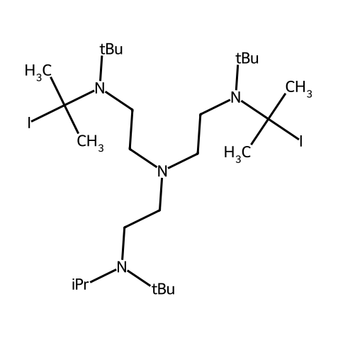 CC(C)N(CCN(CCN(C(C)(C)C)C(C)(C)I)CCN(C(C)(C)C)C(C)(C)I)C(C)(C)C